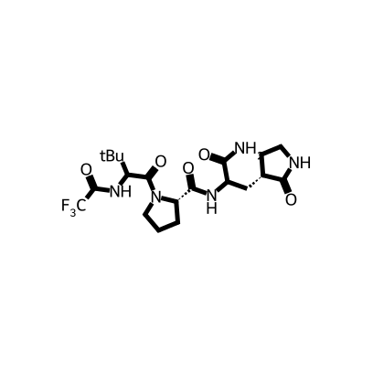 CC(C)(C)C(NC(=O)C(F)(F)F)C(=O)N1CCC[C@H]1C(=O)NC(C[C@@H]1CCNC1=O)C(N)=O